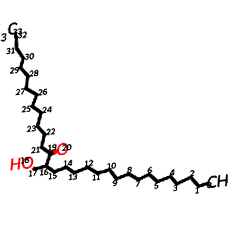 CCCCCCCCCCCCCCCCC(CO)C(=O)CCCCCCCCCCCCC